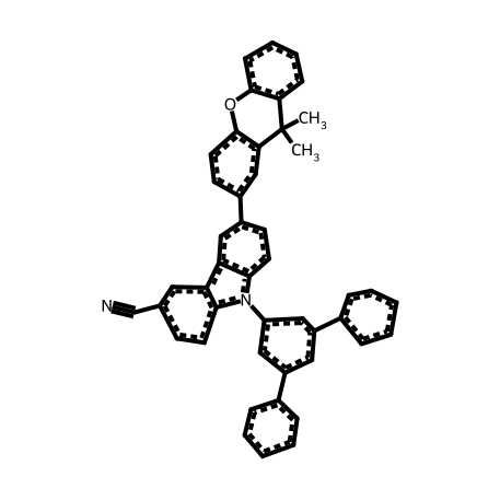 CC1(C)c2ccccc2Oc2ccc(-c3ccc4c(c3)c3cc(C#N)ccc3n4-c3cc(-c4ccccc4)cc(-c4ccccc4)c3)cc21